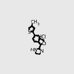 Cc1csc(-c2ccc3c(C4=NCCN4)occ3c2)c1.Cl